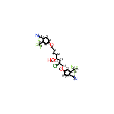 N#Cc1ccc(OCCCCC(O)CC(Cl)COc2ccc(C#N)c(C(F)(F)F)c2)cc1C(F)(F)F